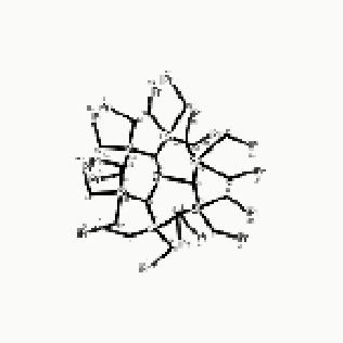 CC(C)C[Si](CC(C)C)(CC(C)C)[CH]([Cr]([CH]([Si](CC(C)C)(CC(C)C)CC(C)C)[Si](CC(C)C)(CC(C)C)CC(C)C)[CH]([Si](CC(C)C)(CC(C)C)CC(C)C)[Si](CC(C)C)(CC(C)C)CC(C)C)[Si](CC(C)C)(CC(C)C)CC(C)C